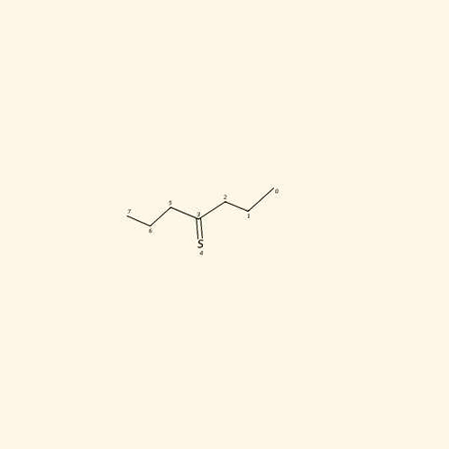 CCCC(=S)CCC